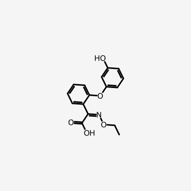 CCON=C(C(=O)O)c1ccccc1Oc1cccc(O)c1